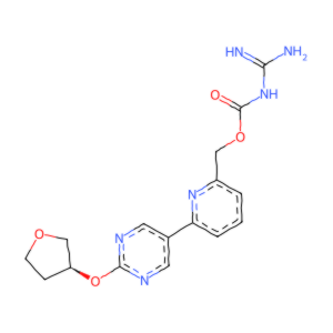 N=C(N)NC(=O)OCc1cccc(-c2cnc(O[C@H]3CCOC3)nc2)n1